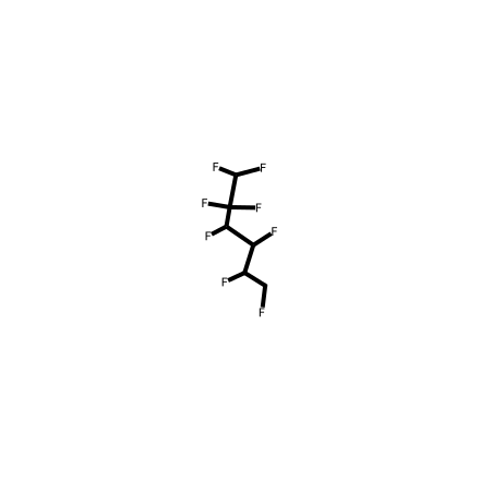 FCC(F)C(F)C(F)C(F)(F)C(F)F